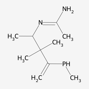 C=C(PC)C(C)(C)C(C)/N=C(\C)N